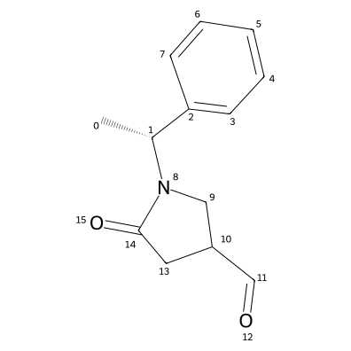 C[C@H](c1ccccc1)N1CC(C=O)CC1=O